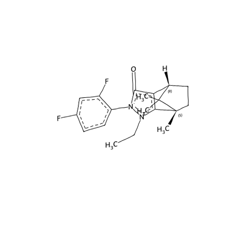 CCn1c2c(c(=O)n1-c1ccc(F)cc1F)[C@@H]1CC[C@@]2(C)C1(C)C